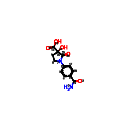 NC(=O)c1ccc(N2CCC(O)(C(=O)O)C2=O)cc1